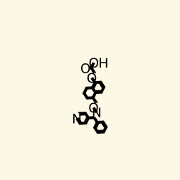 O=C(O)COc1cccc2c1CCCC2CO/N=C(/c1ccccc1)c1ccncc1